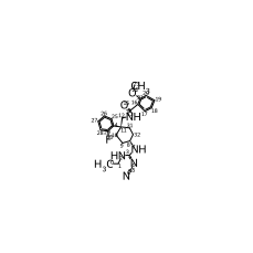 CCN/C(=N\C#N)N[C@H]1CC[C@](CNC(=O)c2ccccc2OC)(c2ccccc2F)CC1